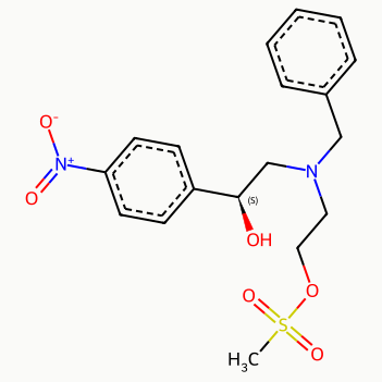 CS(=O)(=O)OCCN(Cc1ccccc1)C[C@@H](O)c1ccc([N+](=O)[O-])cc1